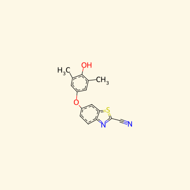 Cc1cc(Oc2ccc3nc(C#N)sc3c2)cc(C)c1O